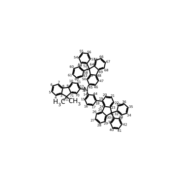 CC1(C)c2ccccc2-c2ccc(N(c3cccc(-c4cccc5c4-c4ccccc4C5(c4ccccc4)c4ccccc4)c3)c3ccc4c(c3)C(c3ccccc3)(c3ccccc3)c3ccccc3-4)cc21